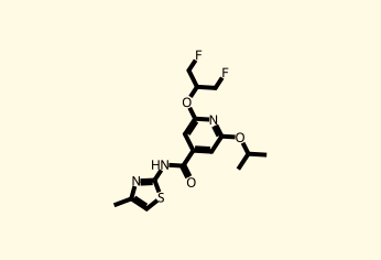 Cc1csc(NC(=O)c2cc(OC(C)C)nc(OC(CF)CF)c2)n1